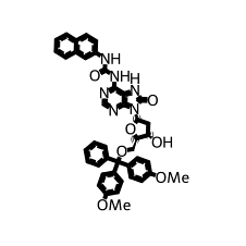 COc1ccc(C(OC[C@H]2O[C@@H](n3c(=O)[nH]c4c(NC(=O)Nc5ccc6ccccc6c5)ncnc43)C[C@H]2O)(c2ccccc2)c2ccc(OC)cc2)cc1